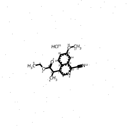 CCOC(=O)C(C)c1cnc(C#N)c2cc(OC)ccc12.Cl